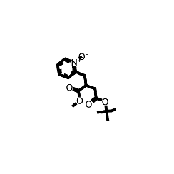 COC(=O)C(CC(=O)OC(C)(C)C)Cc1cccc[n+]1[O-]